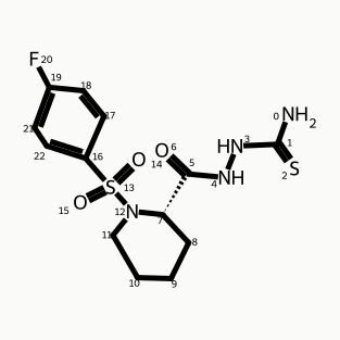 NC(=S)NNC(=O)[C@@H]1CCCCN1S(=O)(=O)c1ccc(F)cc1